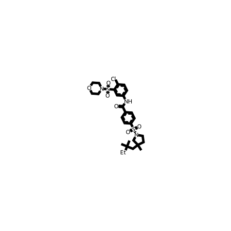 CCC(C)(C)CC1(C)CCN(S(=O)(=O)c2ccc(C(=O)Nc3ccc(Cl)c(S(=O)(=O)N4CCOCC4)c3)cc2)C1